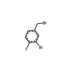 Fc1ccc(CBr)cc1Br